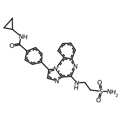 NS(=O)(=O)CCNc1nc2ccccc2n2c(-c3ccc(C(=O)NC4CC4)cc3)cnc12